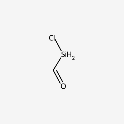 O=C[SiH2]Cl